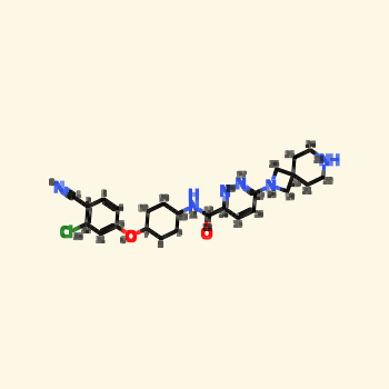 N#Cc1ccc(OC2CCC(NC(=O)c3ccc(N4CC5(CCNCC5)C4)nn3)CC2)cc1Cl